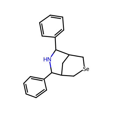 c1ccc(C2NC(c3ccccc3)C3C[Se]CC2C3)cc1